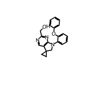 OCc1ncc2c(n1)N(c1ccccc1Oc1ccccc1)CC21CC1